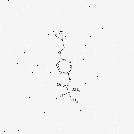 CCC(C)(C)C(=O)Oc1ccc(OCC2CO2)cc1